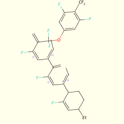 C=C(/C(F)=C\C(=C/C)C1CCC(CC)C=C1F)C(/C=C(/F)C(=C)C(F)(F)Oc1cc(F)c(C(F)(F)F)c(F)c1)=C/C